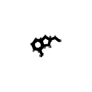 CCN1Cc2cccc(F)c2C1